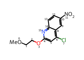 COCCOc1cc(Cl)c2cc([N+](=O)[O-])ccc2n1